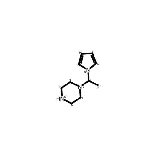 [CH2]C(N1CCNCC1)n1cccc1